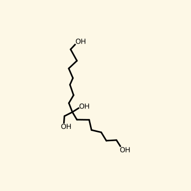 OCCCCCCCC(O)(CO)CCCCCCO